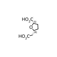 O=C(O)C[C@H]1CC[C@@H](C(=O)O)O1